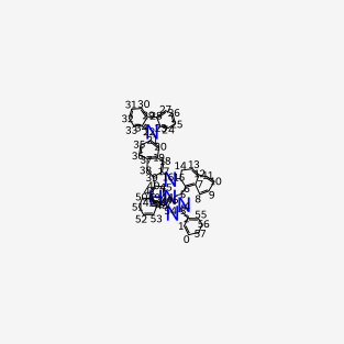 C1=CC(C2=NC(C3=c4ccccc4=CCC3N3C4=Cc5cc(-n6c7ccccc7c7ccccc76)ccc5CC4c4ccccc43)NC(C3=CCCC=C3)=N2)=CCC1